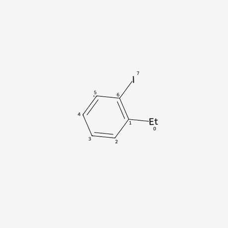 CCc1ccc[c]c1I